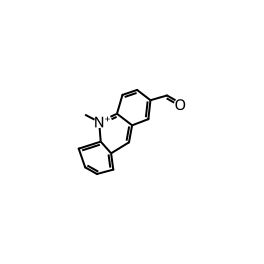 C[n+]1c2ccccc2cc2cc(C=O)ccc21